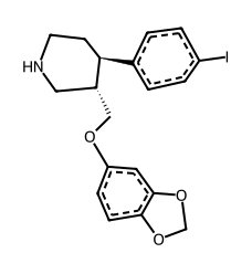 Ic1ccc([C@@H]2CCNC[C@H]2COc2ccc3c(c2)OCO3)cc1